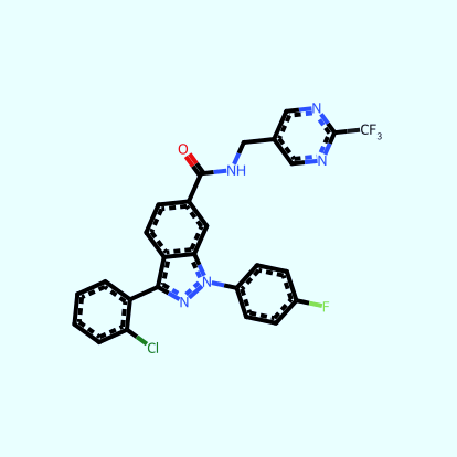 O=C(NCc1cnc(C(F)(F)F)nc1)c1ccc2c(-c3ccccc3Cl)nn(-c3ccc(F)cc3)c2c1